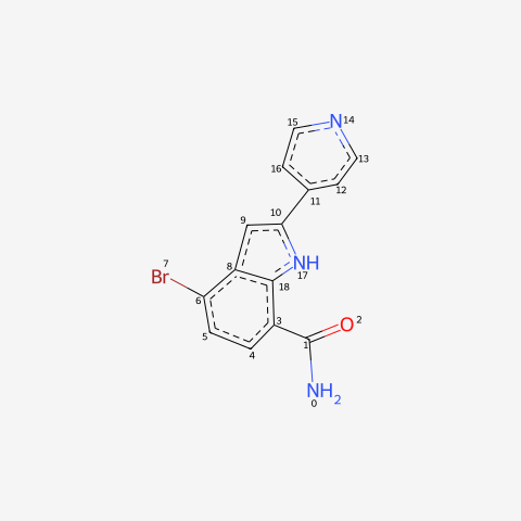 NC(=O)c1ccc(Br)c2cc(-c3ccncc3)[nH]c12